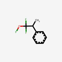 CC(c1ccccc1)C(F)(F)OF